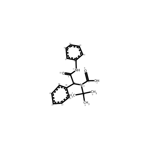 CC(C)(C)N(C(=O)O)C(C(=O)Nc1ccccc1)c1ccccc1